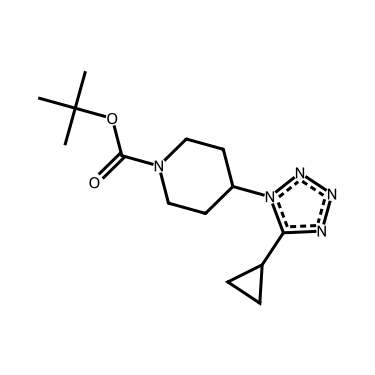 CC(C)(C)OC(=O)N1CCC(n2nnnc2C2CC2)CC1